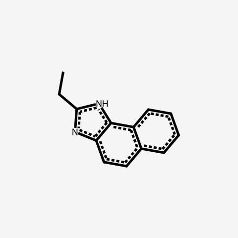 CCc1nc2ccc3ccccc3c2[nH]1